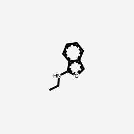 CCNc1occ2ccccc12